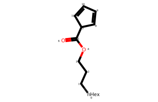 CCCCCCCCCOC(=O)C1C=CC=C1